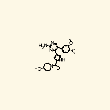 COc1ccc(-c2cnc(N)nc2-c2c[nH]c(C(=O)N3CCC(O)CC3)c2)cc1OC